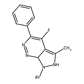 CC1=C2C(F)=C(c3ccccc3)N=NC2N(C(C)C)N1